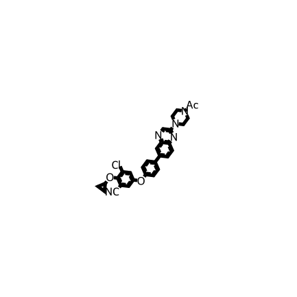 CC(=O)N1CCN(c2cnc3cc(-c4ccc(Oc5cc(Cl)c(OC6CC6)c(C#N)c5)cc4)ccc3n2)CC1